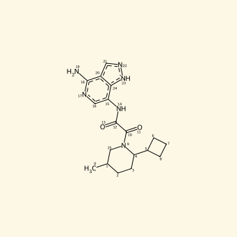 CC1CCC(C2CCC2)N(C(=O)C(=O)Nc2cnc(N)c3cn[nH]c23)C1